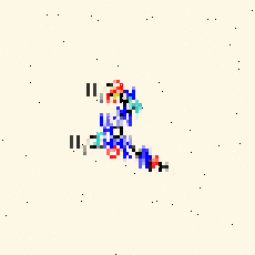 COc1ncc(-c2cnc(N(C(=O)NCC(C)(F)F)[C@H]3CC[C@H](Nc4ncc(C(F)(F)F)c(-c5cncc(S(C)(=O)=O)c5)n4)CC3)cn2)cn1